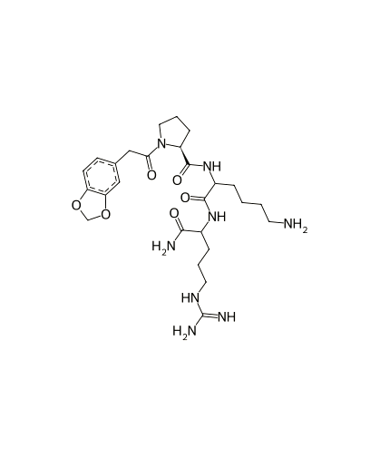 N=C(N)NCCCC(NC(=O)C(CCCCN)NC(=O)[C@@H]1CCCN1C(=O)Cc1ccc2c(c1)OCO2)C(N)=O